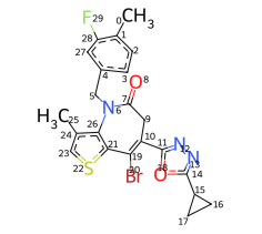 Cc1ccc(CN2C(=O)CC(c3nnc(C4CC4)o3)=C(Br)c3scc(C)c32)cc1F